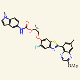 COc1cnc2c(-c3nc4cc(F)c(OC[C@@H](C)OC(=O)Nc5ccc6c(ccn6C)c5)cc4s3)cc(C)cc2n1